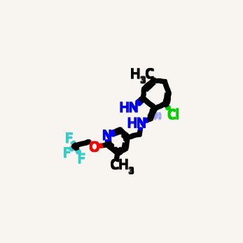 CC1=CC(=N)/C(=C\NCc2cnc(OCC(F)(F)F)c(C)c2)C(Cl)=CC1